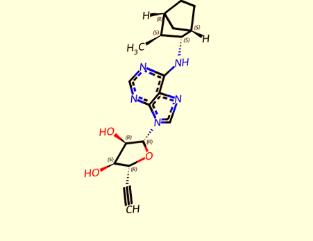 C#C[C@H]1O[C@@H](n2cnc3c(N[C@H]4[C@H]5CC[C@H](C5)[C@@H]4C)ncnc32)[C@H](O)[C@@H]1O